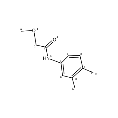 COCC(=O)Nc1ccc(F)c(C)c1